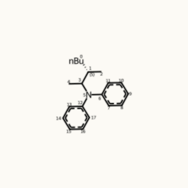 CCCC[C@H](C)C(C)N(c1ccccc1)c1ccccc1